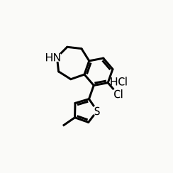 Cc1csc(-c2c(Cl)ccc3c2CCNCC3)c1.Cl